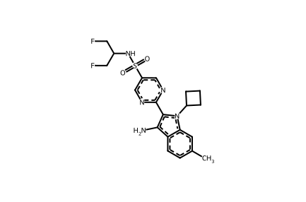 Cc1ccc2c(N)c(-c3ncc(S(=O)(=O)NC(CF)CF)cn3)n(C3CCC3)c2c1